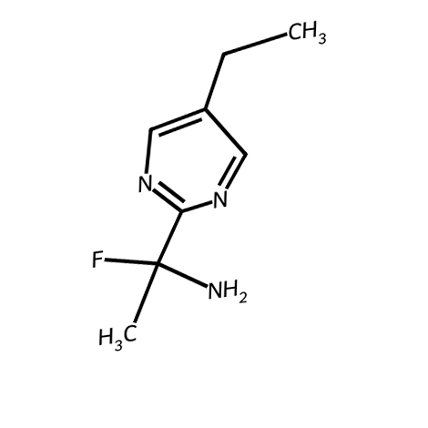 CCc1cnc(C(C)(N)F)nc1